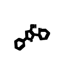 Oc1cc(-c2ccccc2)sc1-c1ccccn1